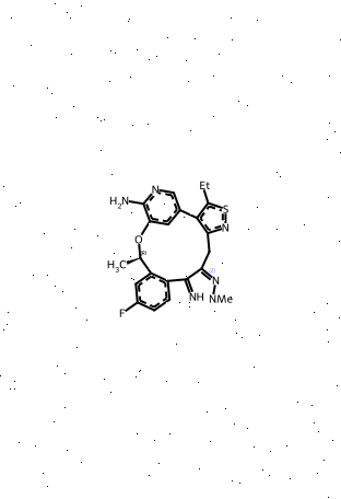 CCc1snc2c1-c1cnc(N)c(c1)O[C@H](C)c1cc(F)ccc1C(=N)/C(=N\NC)C2